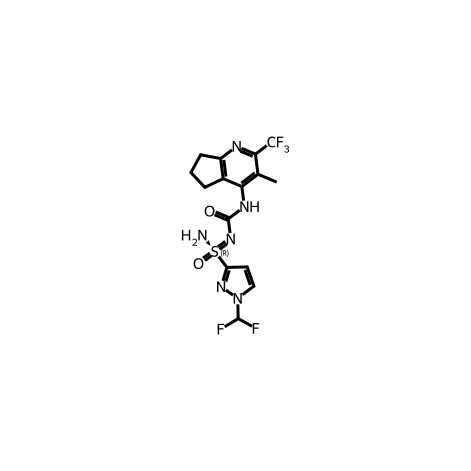 Cc1c(C(F)(F)F)nc2c(c1NC(=O)N=[S@@](N)(=O)c1ccn(C(F)F)n1)CCC2